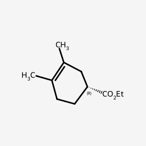 CCOC(=O)[C@@H]1CCC(C)=C(C)C1